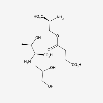 CC(O)CO.C[C@@H](O)[C@H](N)C(=O)O.N[C@@H](COC(=O)CCC(=O)O)C(=O)O